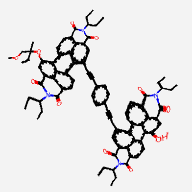 CCC(CC)N1C(=O)c2ccc3c4c(C#Cc5ccc(C#Cc6cc7c8c(ccc9c%10c(OC(C)(CC)COC)cc%11c%12c(ccc(c6c89)c%12%10)C(=O)N(C(CC)CC)C%11=O)C(=O)N(C(CC)CC)C7=O)cc5)cc5c6c(ccc(c7c(O)cc(c2c37)C1=O)c64)C(=O)N(C(CC)CC)C5=O